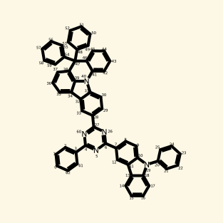 c1ccc(-c2nc(-c3ccc4c(c3)c3ccccc3n4-c3ccccc3)nc(-c3ccc4c(c3)c3cccc5c3n4-c3ccccc3C5(c3ccccc3)c3ccccc3)n2)cc1